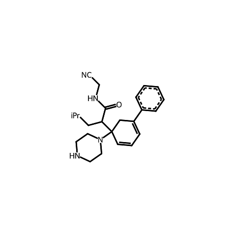 CC(C)CC(C(=O)NCC#N)C1(N2CCNCC2)C=CC=C(c2ccccc2)C1